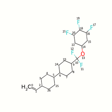 C=CC1CCC(C2CCC(C(F)(F)OC3CC(F)C(F)C(F)C3)CC2)CC1